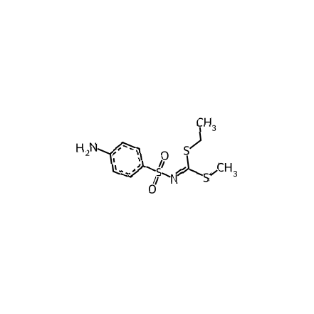 CCS/C(=N\S(=O)(=O)c1ccc(N)cc1)SC